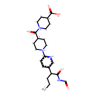 CCCC(C(=O)NC=O)c1ccc(N2CCC(C(=O)N3CCC(C(=O)O)CC3)CC2)nc1